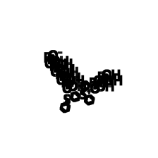 O=P(O)(O)F.O=P(O)(O)F.O=P(O)(O)F.O=P(O)(O)F.O=P(O)(O)F.O=P([O-])(O)F.c1ccc(Sc2ccc([S+](c3ccccc3)c3ccccc3)cc2)cc1